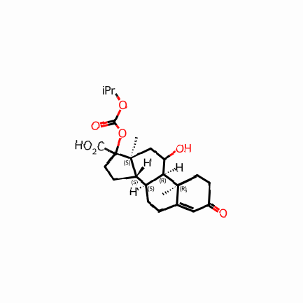 CC(C)OC(=O)OC1(C(=O)O)CC[C@H]2[C@@H]3CCC4=CC(=O)CC[C@]4(C)[C@@H]3C(O)C[C@@]21C